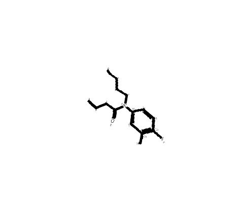 CCCCN(C(=O)CCC)c1ccc(F)c(C)c1